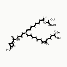 CCCCCCCCC(CCCCCCCC)OC(=O)CCCCCCCN(CCCCCCCC(=O)OCCC(CCCC)CCCC)CCCNC(=O)C1CC(O)C1